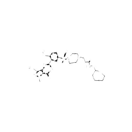 CCCc1nn(C)c2c(=O)[nH]c(-c3cc(S(=O)(=O)N4CCN(CCC(=O)NOC5CCCCO5)CC4)ccc3OCC)nc12